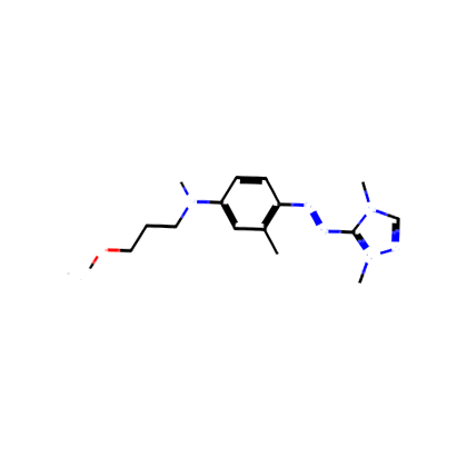 CCN(CCCOS(=O)(=O)O)c1ccc(N=Nc2n(C)cn[n+]2C)c(C)c1